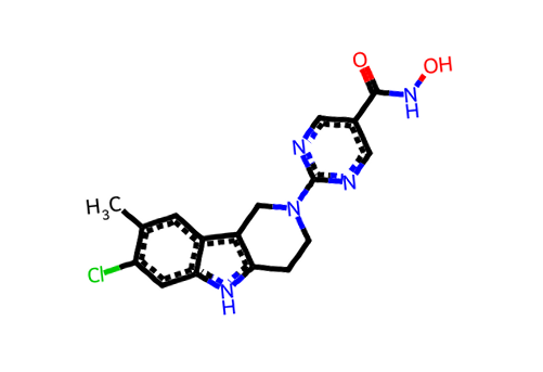 Cc1cc2c3c([nH]c2cc1Cl)CCN(c1ncc(C(=O)NO)cn1)C3